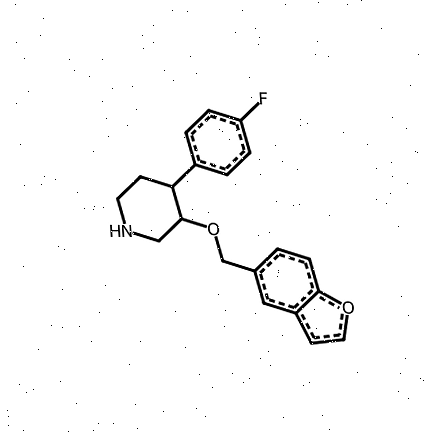 Fc1ccc(C2CCNCC2OCc2ccc3occc3c2)cc1